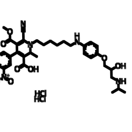 COC(=O)C1=C(C#N)N(CCCCCCNc2ccc(OCC(O)CNC(C)C)cc2)C(C)C(C(=O)O)=C1c1cccc([N+](=O)[O-])c1.Cl.Cl